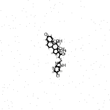 CC12C=CC(=O)C=C1CCC1C2[C@@H](O)CC2(C)C1CC[C@]2(O)C(=O)CSc1nc2ncc(Cl)cc2[nH]1